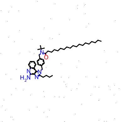 CCCCCCCCCCCCCCCCCCC(=O)N(Cc1ccc(Cn2c(CCCC)nc3c(N)nc4ccccc4c32)cc1)C(C)(C)C